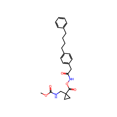 COC(=O)NCC1(C(=O)ONC(=O)Cc2ccc(CCCCc3ccccc3)cc2)CC1